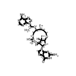 C[C@@H](O[C@@H]1COP(=O)(S)O[C@@H]2[C@H](F)C(OCC[C@H]1F)S[C@H]2n1cnc2c(=O)[nH]c(N)nc21)n1nnc2c(N)ncnc21